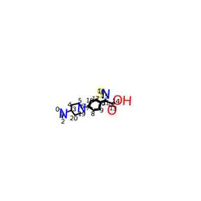 CN(C)C1CCN(c2ccc3c(C(=O)O)nsc3c2)CC1